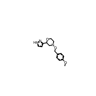 COc1ccc(CON2CCOC(c3cc[nH]n3)C2)cc1